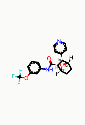 O=C(Nc1cccc(OC(F)(F)F)c1)[C@H]1[C@H](c2ccncc2)[C@@H]2CC[C@@H]1O2